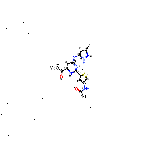 CCC(=O)Nc1csc(-c2nc(Nc3cc(C)n[nH]3)cc(C(=O)OC)n2)c1